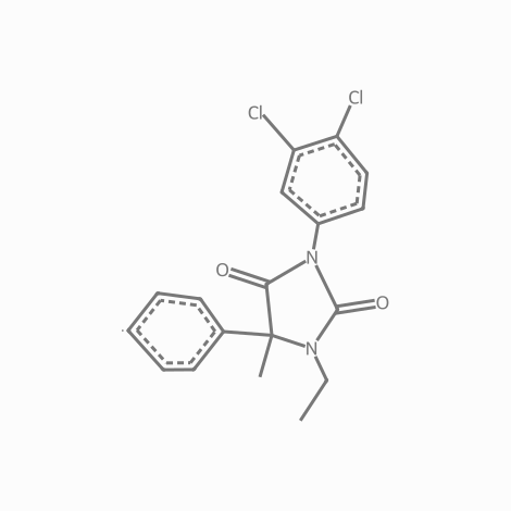 CCN1C(=O)N(c2ccc(Cl)c(Cl)c2)C(=O)C1(C)c1cc[c]cc1